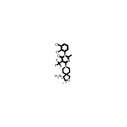 Cc1nc(N2CCC3(CC2)CO[C@H](C)[C@@H]3N)c(C(F)(F)F)c(=O)n1-c1cccc(Cl)c1Cl